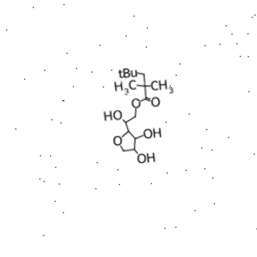 CC(C)(C)CC(C)(C)C(=O)OCC(O)C1OCC(O)C1O